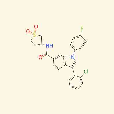 O=C(N[C@@H]1CCS(=O)(=O)C1)c1ccc2c(-c3ccccc3Cl)cn(-c3ccc(F)cc3)c2c1